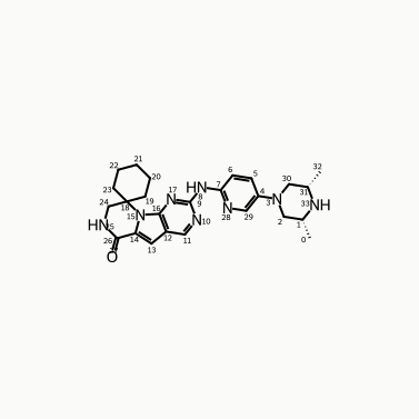 C[C@@H]1CN(c2ccc(Nc3ncc4cc5n(c4n3)C3(CCCCC3)CNC5=O)nc2)C[C@H](C)N1